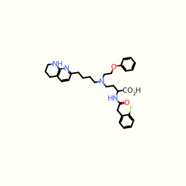 O=C(Cc1ccccc1F)NC(CCN(CCCCc1ccc2c(n1)NCCC2)CCOc1ccccc1)C(=O)O